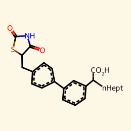 CCCCCCCC(C(=O)O)c1cccc(-c2ccc(CC3SC(=O)NC3=O)cc2)c1